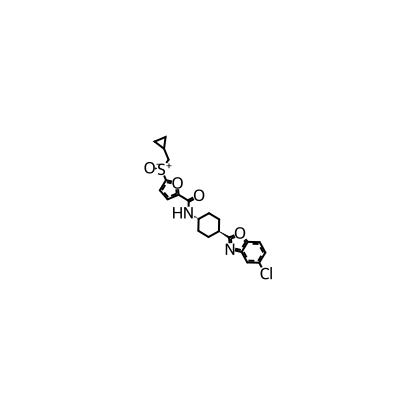 O=C(N[C@H]1CC[C@H](c2nc3cc(Cl)ccc3o2)CC1)c1ccc([S@+]([O-])CC2CC2)o1